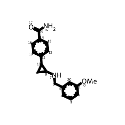 COc1cccc(CNC2CC2c2ccc(C(N)=O)cc2)c1